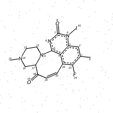 Cc1cc2c3c(nc(=O)n2I)N2CCN(C)CC2C(=O)/C=C\c3c1F